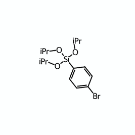 CC(C)O[Si](OC(C)C)(OC(C)C)c1ccc(Br)cc1